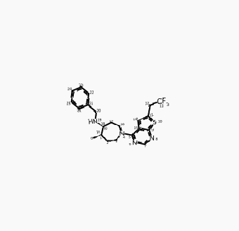 C[C@@H]1CCN(c2ncnc3sc(CC(F)(F)F)cc23)CC[C@@H]1NCc1ccccc1